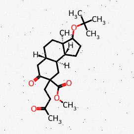 COC(=O)C1(CCC(C)=O)C[C@H]2[C@@H](CC[C@@]3(C)C(OC(C)(C)C)CC[C@H]23)CC1=O